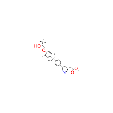 CCC(CC)(c1ccc(-c2cncc(CC(=O)OC)c2)cc1)c1ccc(OCC(O)C(C)(C)C)c(C)c1